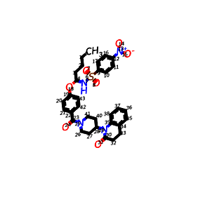 CCCCC(NS(=O)(=O)c1ccc([N+](=O)[O-])cc1)Oc1ccc(C(=O)N2CCC(N3C(=O)CCc4ccccc43)CC2)cc1